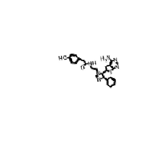 Nc1ncnc2sc(-c3c(-c4ccccc4)ncn3CCNC(=O)Cc3ccc(O)cc3)cc12